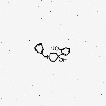 Oc1ccccc1C1(O)CCN(Cc2ccccc2)CC1